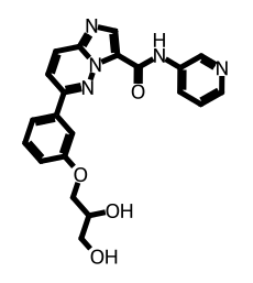 O=C(Nc1cccnc1)c1cnc2ccc(-c3cccc(OCC(O)CO)c3)nn12